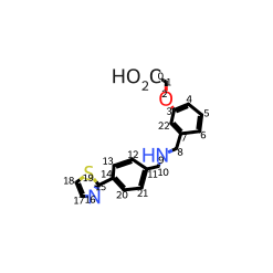 O=C(O)COc1cccc(CNCc2ccc(-c3nccs3)cc2)c1